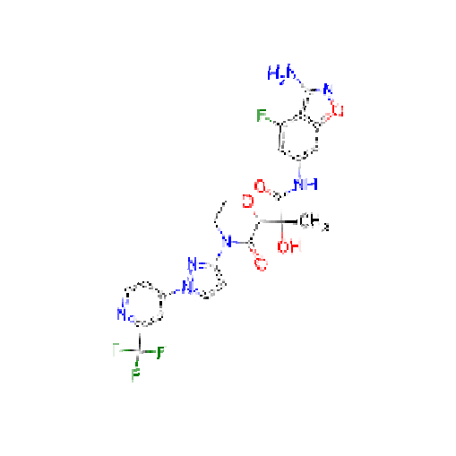 C[C@](O)(C(=O)Nc1cc(F)c2c(N)noc2c1)[C@H]1OCCN(c2ccn(-c3ccnc(C(F)(F)F)c3)n2)C1=O